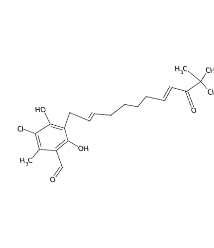 Cc1c(Cl)c(O)c(CC=CCCCCC=CC(=O)C(C)(C)C)c(O)c1C=O